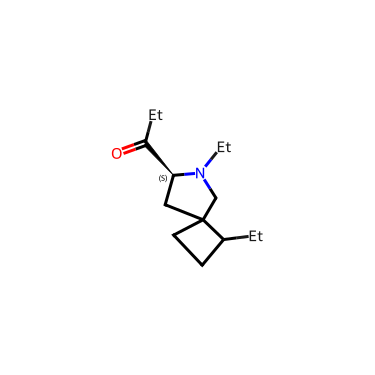 CCC(=O)[C@@H]1CC2(CCC2CC)CN1CC